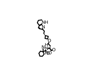 N#CC1(C(=O)N[C@@H](CCO[C@H]2C[C@H](CCc3ccc4c(n3)NCCC4)C2)C(=O)O)CCCCC1